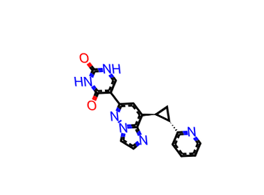 O=c1[nH]cc(-c2cc([C@H]3C[C@@H]3c3ccccn3)c3nccn3n2)c(=O)[nH]1